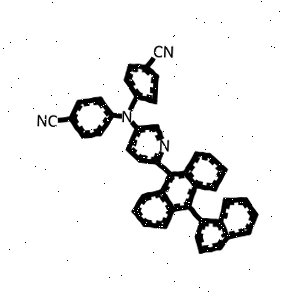 N#Cc1ccc(N(c2ccc(C#N)cc2)c2ccc(-c3c4ccccc4c(-c4cccc5ccccc45)c4ccccc34)nc2)cc1